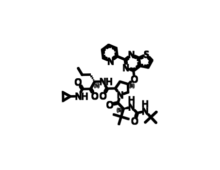 CCC[C@H](NC(=O)C1C[C@@H](Oc2nc(-c3ccccn3)nc3sccc23)CN1C(=O)[C@@H](NC(=O)NC(C)(C)C)C(C)(C)C)C(=O)C(=O)NC1CC1